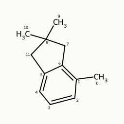 Cc1cccc2c1CC(C)(C)C2